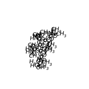 CCC(=O)Nc1cc2c(cc1NC(=O)CC)Oc1cc3c4cc1C(CC)c1cc5c(cc1O2)Oc1cc(NC(=O)CC)c(NC(=O)CC)cc1Oc1cc2c(cc1C5CC)C(CC)c1cc(c(cc1Oc1cc5c(cc1O2)nc1n5C(=O)C2(C)CC1(C)CC(C)(C(O)O)C2)Oc1cc(NC(=O)CC)c(NC(=O)CC)cc1O3)C4CC